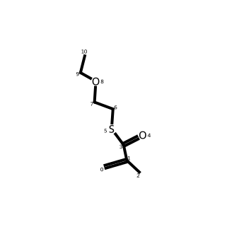 C=C(C)C(=O)SCCOCC